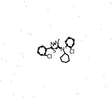 Cn1nc(-c2ccccc2Cl)sc1=[N+](c1ccccc1Cl)C1CCCCC1